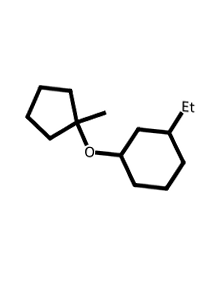 CCC1CCCC(OC2(C)CCCC2)C1